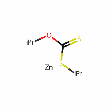 CC(C)OC(=S)SC(C)C.[Zn]